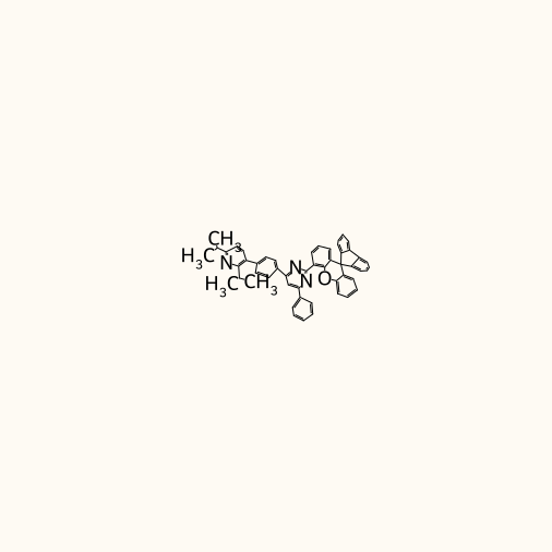 CC(C)c1ccc(-c2ccc(-c3cc(-c4ccccc4)nc(-c4cccc5c4Oc4ccccc4C54c5ccccc5-c5ccccc54)n3)cc2)c(C(C)C)n1